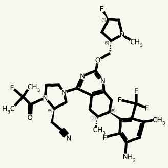 Cc1cc(N)c(F)c([C@@H]2Cc3nc(OC[C@@H]4C[C@@H](F)CN4C)nc(N4CCN(C(=O)C(C)(C)F)[C@H](CC#N)C4)c3C[C@H]2C)c1C(F)(F)F